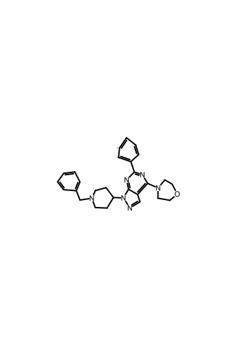 [c]1cccc(-c2nc(N3CCOCC3)c3cnn(C4CCN(Cc5ccccc5)CC4)c3n2)c1